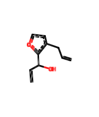 C=CCc1ccoc1C(O)C=C